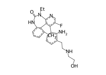 CCN1C(=O)Nc2cccc(C)c2-c2c1ncc(F)c2-c1cccc(CCNCCO)c1N